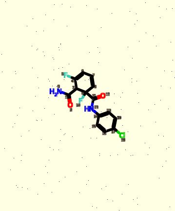 NC(=O)C1C(F)=CC=CC1(F)C(=O)Nc1ccc(Cl)cc1